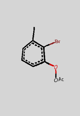 CC(=O)OOc1cccc(C)c1Br